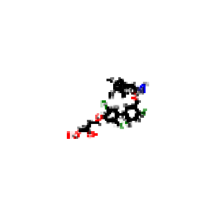 C=C1/C(=C\C(=N/C)OCc2cc(-c3cc(F)c(OCC[C@@H](O)CO)cc3C)c(Cl)cc2F)C2[C@@H]3[C@H]1[C@@]23C(=O)O